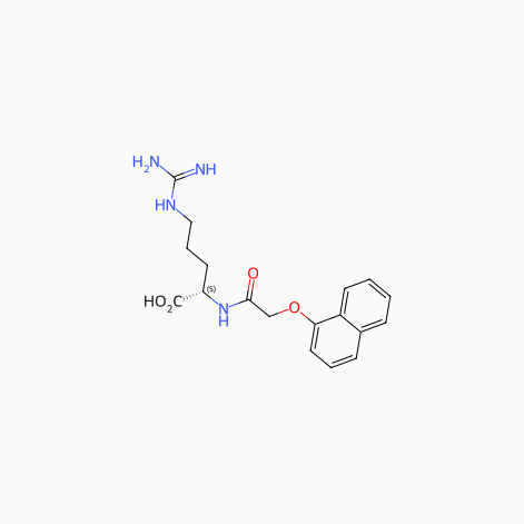 N=C(N)NCCC[C@H](NC(=O)COc1cccc2ccccc12)C(=O)O